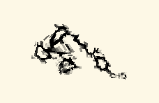 O=Cc1ccc2c(c1)nnn2CCC=Cc1cccc(C2(C(=O)O[C@H]3CN4CCC3CC4)CCCCC2)c1